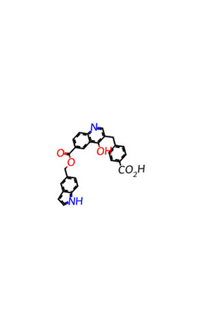 O=C(O)c1ccc(Cc2cnc3ccc(C(=O)OCc4ccc5[nH]ccc5c4)cc3c2O)cc1